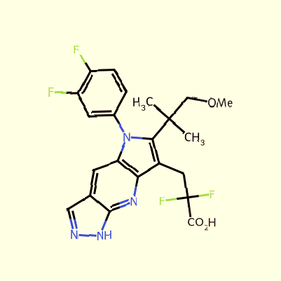 COCC(C)(C)c1c(CC(F)(F)C(=O)O)c2nc3[nH]ncc3cc2n1-c1ccc(F)c(F)c1